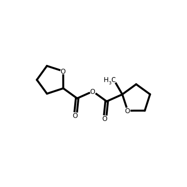 CC1(C(=O)OC(=O)C2CCCO2)CCCO1